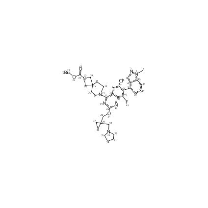 Cn1ncc2c(-c3c(Cl)cc4c(N5CCC6(CC5)CN(C(=O)OC(C)(C)C)C6)nc(OCC5(CN6CCCC6)CC5)nc4c3F)cccc21